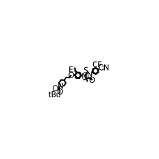 CCc1cc(N2C(=S)N(c3ccc(C#N)c(C(F)(F)F)c3)C(=O)C2(C)C)ccc1OCCC1CCN(C(=O)OC(C)(C)C)CC1